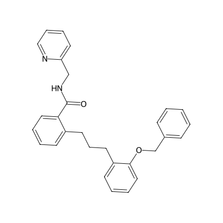 O=C(NCc1ccccn1)c1ccccc1CCCc1ccccc1OCc1ccccc1